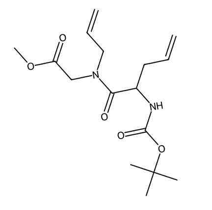 C=CCC(NC(=O)OC(C)(C)C)C(=O)N(CC=C)CC(=O)OC